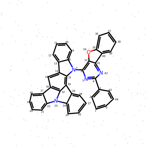 c1ccc(-c2nc(-n3c4ccccc4c4cc5c6ccccc6n6c7ccccc7c(c43)c56)c3oc4ccccc4c3n2)cc1